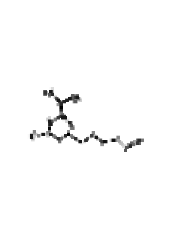 CC(CCCCCCC=O)OC(=O)C(C)C